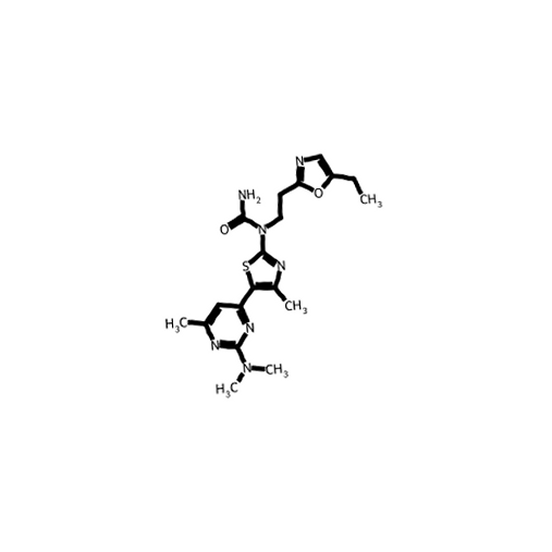 CCc1cnc(CCN(C(N)=O)c2nc(C)c(-c3cc(C)nc(N(C)C)n3)s2)o1